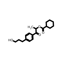 CC(OC(=O)C1CCCCC1)C(=O)c1ccc(CCCO)cc1